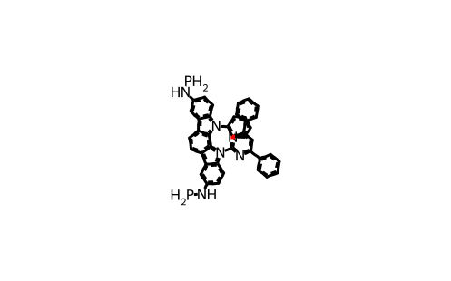 PNc1ccc2c(c1)c1ccc3c4cc(NP)ccc4n(-c4nc(-c5ccccc5)cc(-c5ccccc5)n4)c3c1n2-c1ccccc1